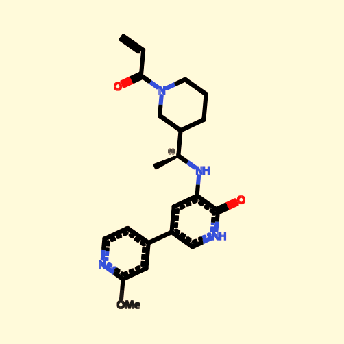 C=CC(=O)N1CCCC([C@H](C)Nc2cc(-c3ccnc(OC)c3)c[nH]c2=O)C1